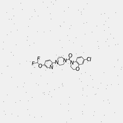 O=C(N1CCN(c2ccc(OC(F)F)cn2)CC1)N1CCOc2cc(Cl)ccc21